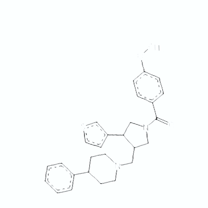 COc1ccc(C(=O)N2CC(CN3CCC(c4ccccc4)CC3)C(c3ccsc3)C2)cc1